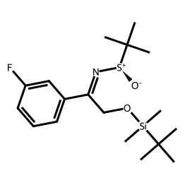 CC(C)(C)[S@@+]([O-])N=C(CO[Si](C)(C)C(C)(C)C)c1cccc(F)c1